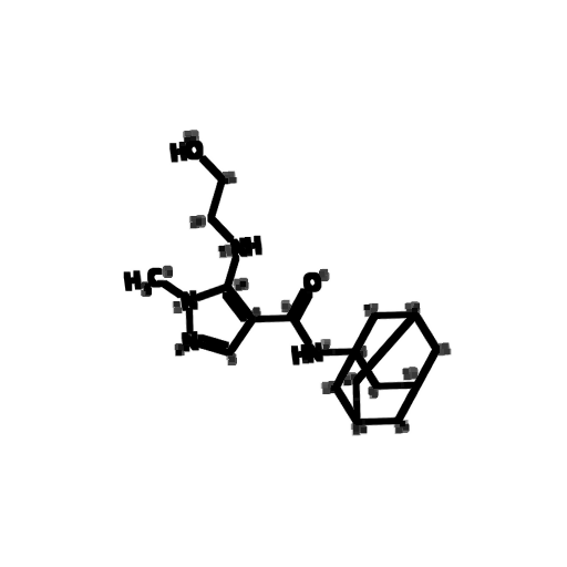 Cn1ncc(C(=O)NC23CC4CC(CC(C4)C2)C3)c1NCCO